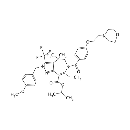 CCC1=C(C(=O)OC(C)C)c2nn(Cc3ccc(OC)cc3)c(C(F)(F)F)c2C(C)(C)CN1C(=O)c1ccc(OCCN2CCOCC2)cc1